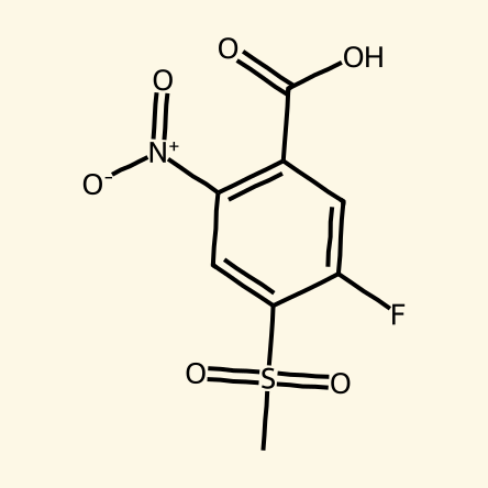 CS(=O)(=O)c1cc([N+](=O)[O-])c(C(=O)O)cc1F